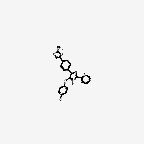 Nc1nnc(C2C=CC(c3nc(-c4ccccn4)[nH]c3Sc3ccc(Cl)cc3)=CC2)o1